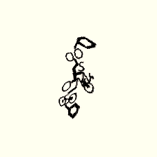 Cn1c(=O)n(CCS(=O)(=O)Cc2ccccc2)c(=O)c2cc(C(=O)OCc3ccccc3)sc21